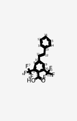 O=C(O)c1c(C(F)(F)F)cc(C=Cc2ccccc2)cc1C(F)(F)F